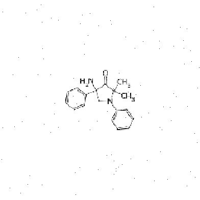 CC1(C)C(=O)C(N)(c2ccccc2)CN1c1ccccc1